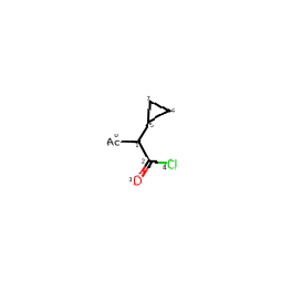 CC(=O)C(C(=O)Cl)C1CC1